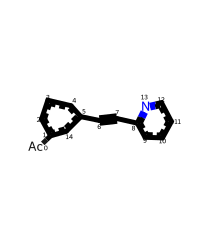 CC(=O)c1cccc(C#Cc2ccccn2)c1